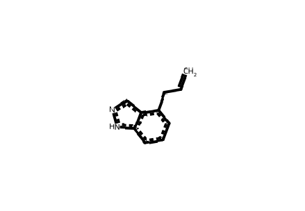 C=CCc1cccc2[nH]n[c]c12